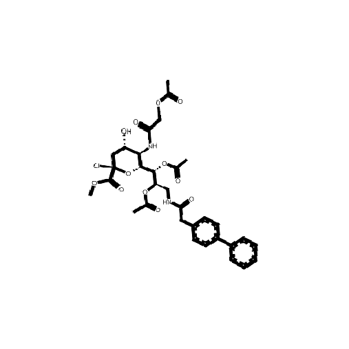 COC(=O)[C@]1(Cl)C[C@H](O)[C@@H](NC(=O)COC(C)=O)[C@H]([C@H](OC(C)=O)[C@@H](CNC(=O)Cc2ccc(-c3ccccc3)cc2)OC(C)=O)O1